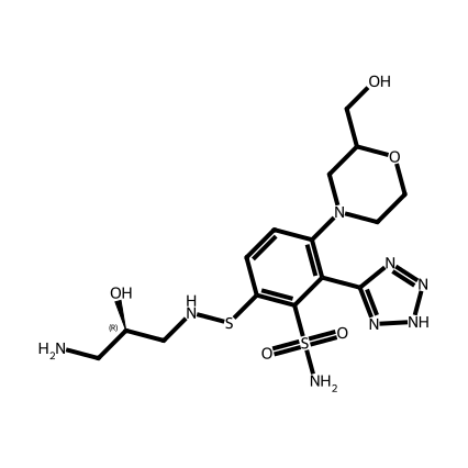 NC[C@@H](O)CNSc1ccc(N2CCOC(CO)C2)c(-c2nn[nH]n2)c1S(N)(=O)=O